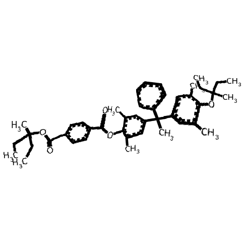 CCC(C)(CC)OC(=O)c1ccc(C(=O)Oc2c(C)cc(C(C)(c3ccccc3)c3cc(C)c(OC(C)(CC)CC)c(C)c3)cc2C)cc1